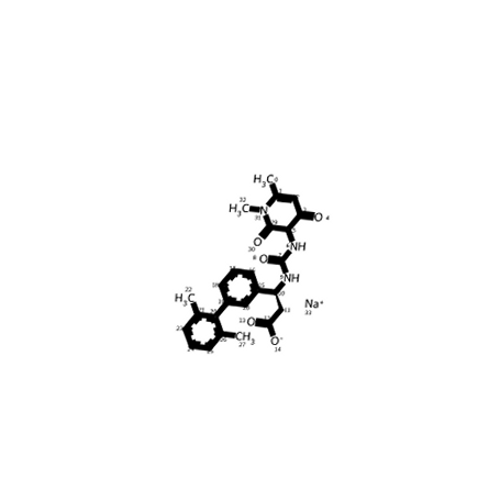 CC1=CC(=O)C(NC(=O)N[C@@H](CC(=O)[O-])c2cccc(-c3c(C)cccc3C)c2)C(=O)N1C.[Na+]